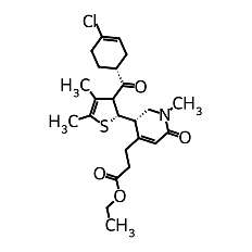 CCOC(=O)CCC1=CC(=O)N(C)C[C@H]1[C@@H]1SC(C)=C(C)C1C(=O)[C@H]1CC=C(Cl)CC1